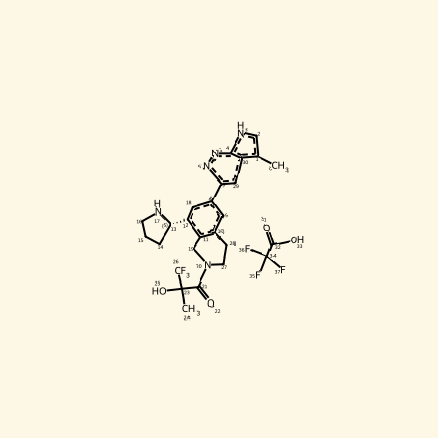 Cc1c[nH]c2nnc(-c3cc4c(c([C@@H]5CCCN5)c3)CN(C(=O)C(C)(O)C(F)(F)F)CC4)cc12.O=C(O)C(F)(F)F